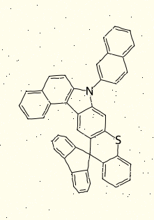 c1ccc2c(c1)Sc1cc3c(cc1C21c2ccccc2-c2ccccc21)c1c2ccccc2ccc1n3-c1ccc2ccccc2c1